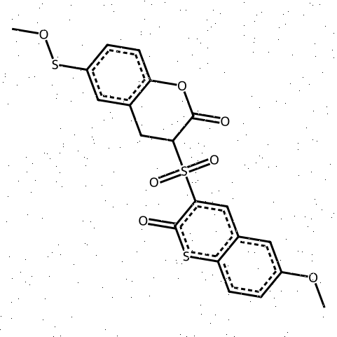 COSc1ccc2c(c1)CC(S(=O)(=O)c1cc3cc(OC)ccc3sc1=O)C(=O)O2